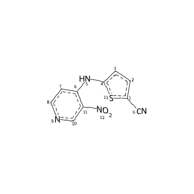 N#Cc1ccc(Nc2ccncc2[N+](=O)[O-])s1